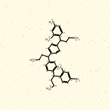 CCCC(c1ccc(C(CCC)c2ccc(N)cc2C)cc1)c1ccc(C(CCC)c2ccc(N)cc2C)cc1